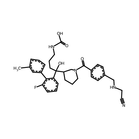 Cc1cccc(-c2c(F)cccc2C(O)(CCCNC(=O)O)C2CCCN(C(=O)c3ccc(CNCC#N)cc3)C2)c1